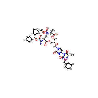 CC(C)[C@H](N)C(=O)N(C(=O)OCc1ccccc1)c1ccn(COC(COC(=O)[C@@H](NC(=O)OCc2ccccc2)C(C)C)COC(=O)[C@@H](NC(=O)OCc2ccccc2)C(C)C)c(=O)n1